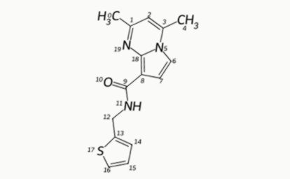 Cc1cc(C)n2ccc(C(=O)NCc3cccs3)c2n1